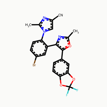 Cc1nc(-c2cc(Br)ccc2-n2cc(C#N)nc2C)c(-c2ccc3c(c2)OC(F)(F)O3)o1